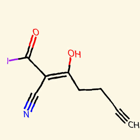 C#CCC/C(O)=C(\C#N)C(=O)I